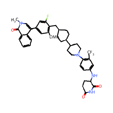 COc1cc(-c2cn(C)c(=O)c3ccccc23)cc(F)c1CC1CCC(C2CCN(c3ccc(NC4CCC(=O)NC4=O)cc3C(F)(F)F)CC2)CC1